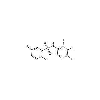 Cc1ccc(F)cc1S(=O)(=O)Nc1ccc(F)c(I)c1F